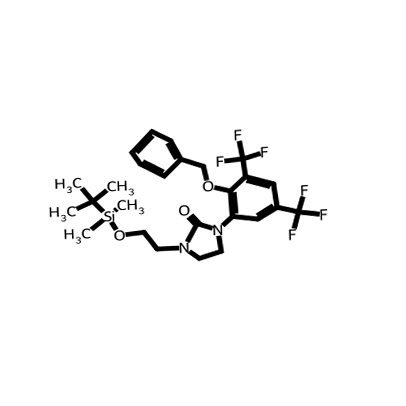 CC(C)(C)[Si](C)(C)OCCN1CCN(c2cc(C(F)(F)F)cc(C(F)(F)F)c2OCc2ccccc2)C1=O